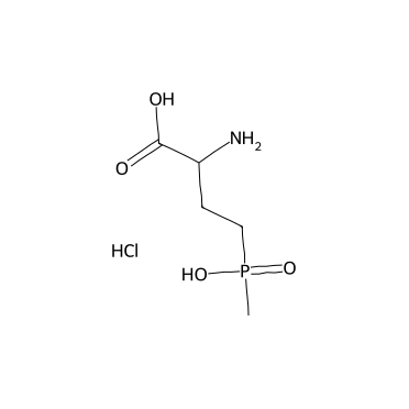 CP(=O)(O)CCC(N)C(=O)O.Cl